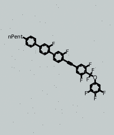 CCCCCc1ccc(-c2ccc(-c3ccc(C#Cc4cc(F)c(C(F)(F)Oc5cc(F)c(F)c(F)c5)c(F)c4)c(F)c3)c(F)c2)cc1